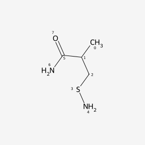 CC(CSN)C(N)=O